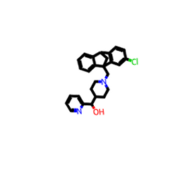 OC(c1ccccn1)C1CCN(CC23CC(c4ccccc42)c2ccc(Cl)cc23)CC1